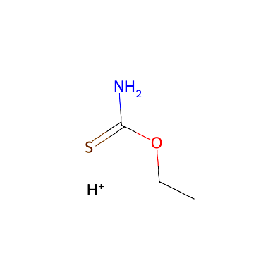 CCOC(N)=S.[H+]